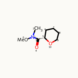 CON(C)C(=O)[C@@H]1CC[CH]CO1